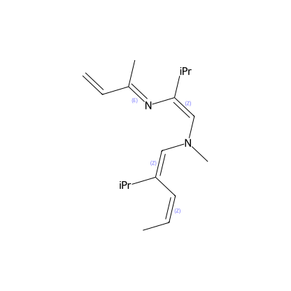 C=C/C(C)=N/C(=C\N(C)/C=C(\C=C/C)C(C)C)C(C)C